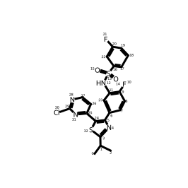 CC(C)c1nc(-c2ccc(F)c(NS(=O)(=O)c3cccc(F)c3)c2)c(-c2ccnc(Cl)n2)s1